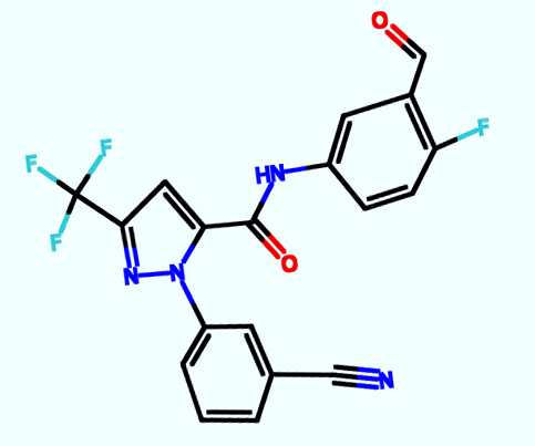 N#Cc1cccc(-n2nc(C(F)(F)F)cc2C(=O)Nc2ccc(F)c(C=O)c2)c1